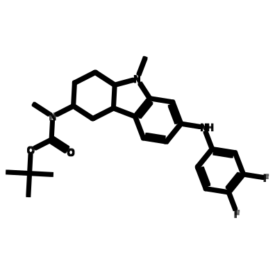 CN(C(=O)OC(C)(C)C)C1CCC2C(C1)c1ccc(Nc3ccc(F)c(F)c3)cc1N2C